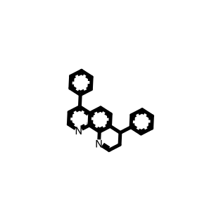 C1=Nc2c(ccc3c(-c4ccccc4)ccnc23)C(c2ccccc2)C1